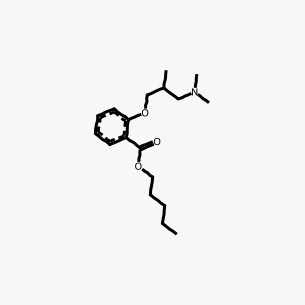 CCCCCOC(=O)c1ccccc1OCC(C)CN(C)C